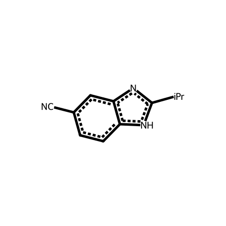 CC(C)c1nc2cc(C#N)ccc2[nH]1